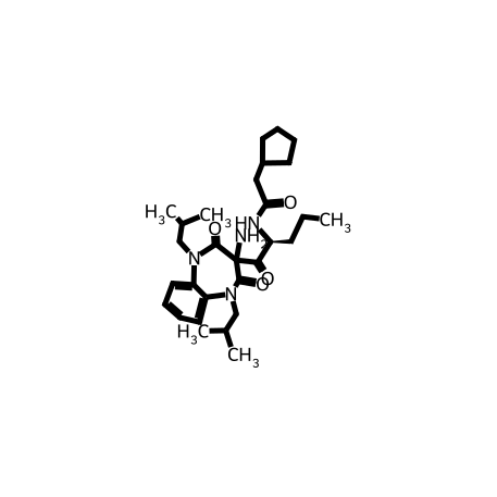 CCC[C@H](NC(=O)CC1CCCC1)C(=O)C1(N)C(=O)N(CC(C)C)c2ccccc2N(CC(C)C)C1=O